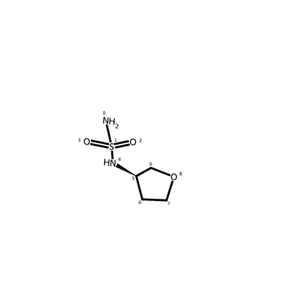 NS(=O)(=O)N[C@@H]1CCOC1